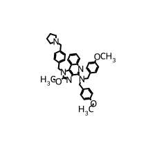 COc1ccc(CN(Cc2ccc(OC)cc2)c2nc3ccccc3c3c2nc(OC)n3Cc2ccc(CN3CCCC3)cc2)cc1